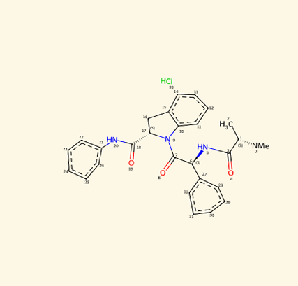 CN[C@@H](C)C(=O)N[C@H](C(=O)N1c2ccccc2C[C@H]1C(=O)Nc1ccccc1)c1ccccc1.Cl